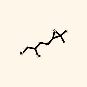 CC1(C)OC1CCC(O)CBr